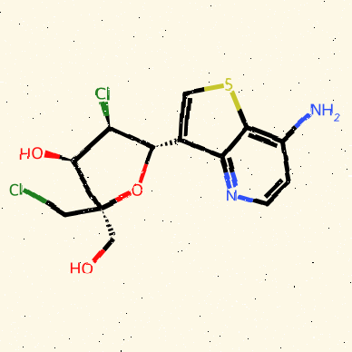 Nc1ccnc2c([C@@H]3O[C@@](CO)(CCl)[C@@H](O)[C@H]3Cl)csc12